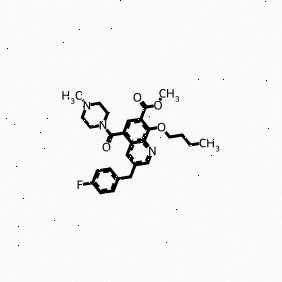 CCCCOc1c(C(=O)OC)cc(C(=O)N2CCN(C)CC2)c2cc(Cc3ccc(F)cc3)cnc12